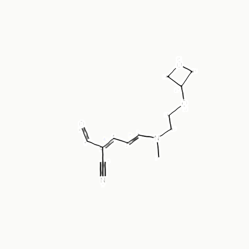 CN(/C=C/C=C(\C#N)C=O)CCOC1COC1